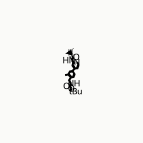 Cc1cc(-c2ccnc(NC(=O)[C@H]3C[C@@H]3C)c2)ccc1CNC(=O)OC(C)(C)C